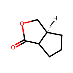 O=C1OC[C@H]2CCCC12